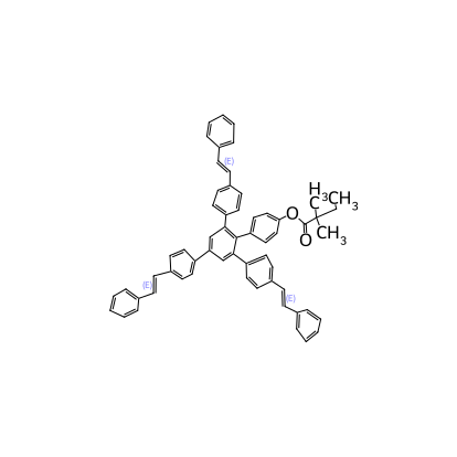 CCC(C)(C)C(=O)Oc1ccc(-c2c(-c3ccc(/C=C/c4ccccc4)cc3)cc(-c3ccc(/C=C/c4ccccc4)cc3)cc2-c2ccc(/C=C/c3ccccc3)cc2)cc1